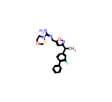 CC(c1ccc(-c2ccccc2)c(F)c1)c1cc(CN=C(N)N2CCOCS2)on1